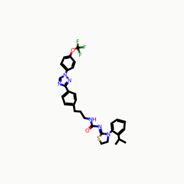 CC(C)c1ccccc1N1CCS/C1=N\C(=O)NCCCc1ccc(-c2ncn(-c3ccc(OC(F)(F)F)cc3)n2)cc1